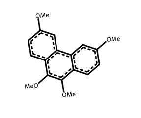 COc1ccc2c(OC)c(OC)c3ccc(OC)cc3c2c1